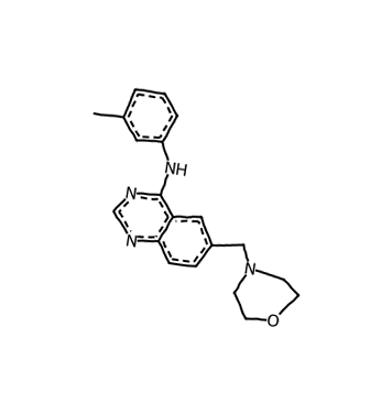 Cc1cccc(Nc2ncnc3ccc(CN4CCOCC4)cc23)c1